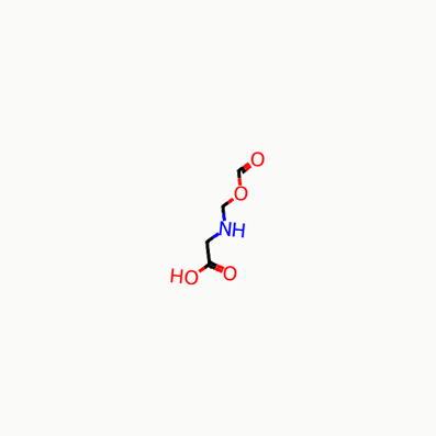 O=COCNCC(=O)O